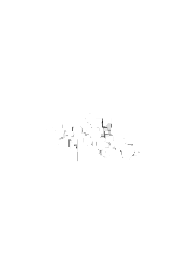 CC1C(OC(=N)C(Cl)(Cl)Cl)OC2COC(c3ccccc3)O[C@H]2[C@@H]1C